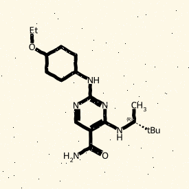 CCOC1CCC(Nc2ncc(C(N)=O)c(N[C@H](C)C(C)(C)C)n2)CC1